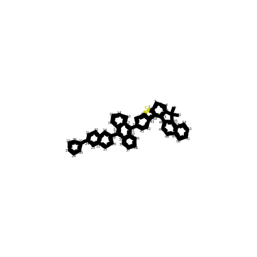 CC1(C)c2ccc3sc4cc(-c5c6ccccc6c(-c6ccc7cc(-c8ccccc8)ccc7c6)c6ccccc56)ccc4c3c2-c2ccc3ccccc3c21